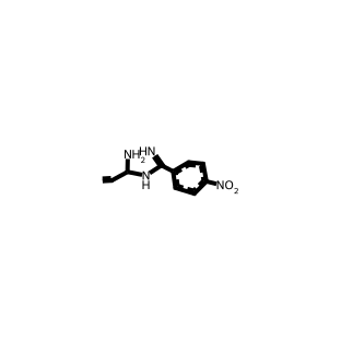 C=CC(N)NC(=N)c1ccc([N+](=O)[O-])cc1